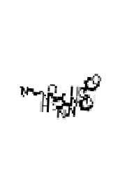 Cc1c(C(=O)NCCCN(C)C)sc2ncnc(Nc3cccnc3OC3CCOCC3)c12